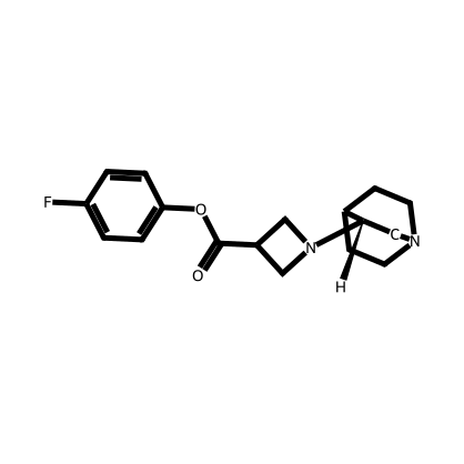 O=C(Oc1ccc(F)cc1)C1CN([C@H]2CN3CCC2CC3)C1